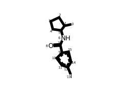 CC1CCCC1NC(=O)c1ccc(I)cc1